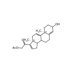 CC(=O)OCC(=O)C1=CCC2C3CCC4=CC(O)CC[C@]4(C)C3=CC[C@]12C